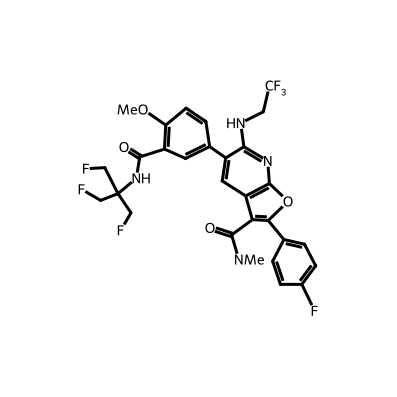 CNC(=O)c1c(-c2ccc(F)cc2)oc2nc(NCC(F)(F)F)c(-c3ccc(OC)c(C(=O)NC(CF)(CF)CF)c3)cc12